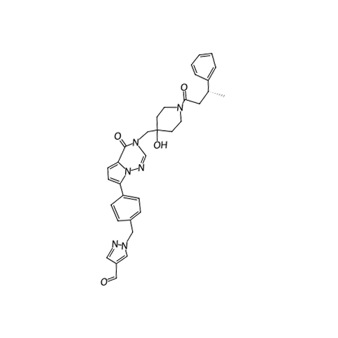 C[C@H](CC(=O)N1CCC(O)(Cn2cnn3c(-c4ccc(Cn5cc(C=O)cn5)cc4)ccc3c2=O)CC1)c1ccccc1